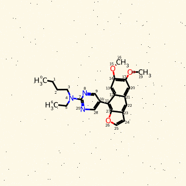 CCCCN(CC)c1ncc(-c2c3cc(OC)c(OC)cc3cc3ccoc23)cn1